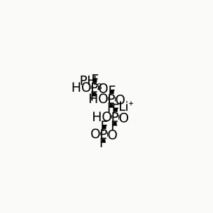 O=P(O)(F)F.O=P(O)(F)F.O=P(O)(F)F.O=P([O-])(F)F.P.[Li+]